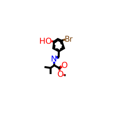 COC(=O)C(N=Cc1cc(O)cc(Br)c1)C(C)C